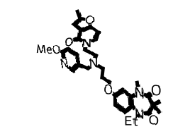 CCN1C(=O)C(C)(C)C(=O)N(C)c2cc(OCCCN(CCn3ccc4oc(C)cc4c3=O)Cc3ccc(OC)nc3)ccc21